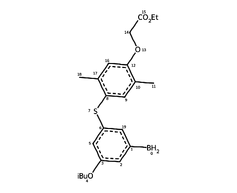 Bc1cc(OCC(C)C)cc(Sc2cc(C)c(OCC(=O)OCC)cc2C)c1